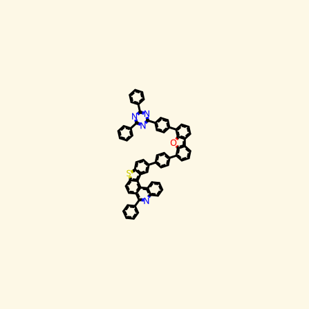 c1ccc(-c2nc(-c3ccccc3)nc(-c3ccc(-c4cccc5c4oc4c(-c6ccc(-c7ccc8sc9ccc%10c(-c%11ccccc%11)nc%11ccccc%11c%10c9c8c7)cc6)cccc45)cc3)n2)cc1